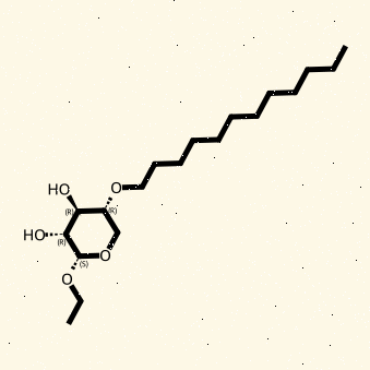 CCCCCCCCCCCCO[C@@H]1CO[C@H](OCC)[C@H](O)[C@H]1O